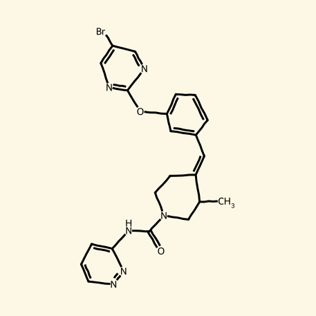 CC1CN(C(=O)Nc2cccnn2)CCC1=Cc1cccc(Oc2ncc(Br)cn2)c1